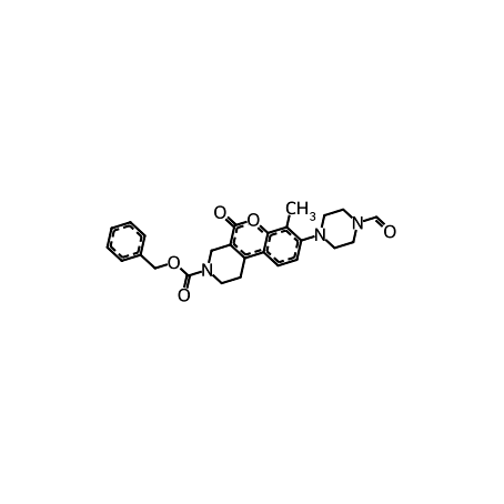 Cc1c(N2CCN(C=O)CC2)ccc2c3c(c(=O)oc12)CN(C(=O)OCc1ccccc1)CC3